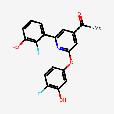 CNC(=O)c1cc(Oc2ccc(F)c(O)c2)nc(-c2cccc(O)c2F)c1